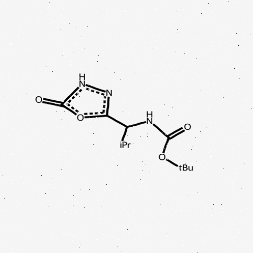 CC(C)C(NC(=O)OC(C)(C)C)c1n[nH]c(=O)o1